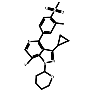 Cc1cc(-c2ncc(Br)c3c2c(C2CC2)nn3C2CCCCO2)ccc1S(C)(=O)=O